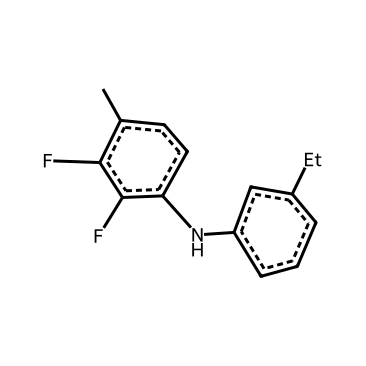 CCc1cccc(Nc2ccc(C)c(F)c2F)c1